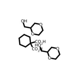 O=C(O)C1(C(=O)O)CCCCC1.OCC1COCCO1.OCC1COCCO1